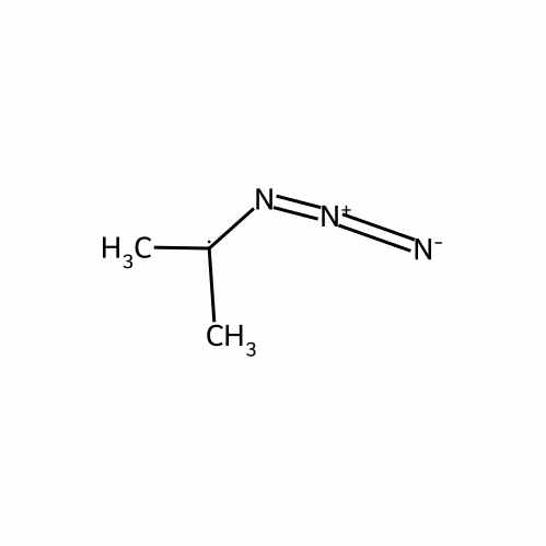 C[C](C)N=[N+]=[N-]